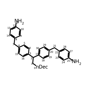 CCCCCCCCCCCC(c1ccc(Cc2ccc(N)cc2)cc1)c1ccc(Cc2ccc(N)cc2)cc1